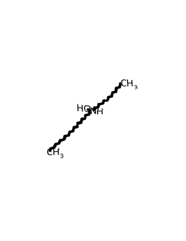 CCCCCCCCCCCCCCCCCCCC(O)NCCCCCCCCCCCCCC